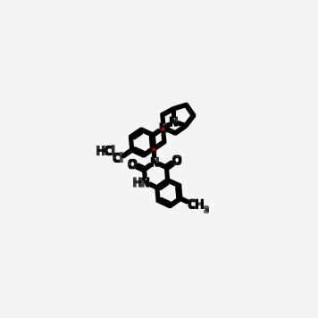 Cc1ccc2[nH]c(=O)n(CCCN3C4CCC3CN(c3ccc(Cl)cc3)C4)c(=O)c2c1.Cl